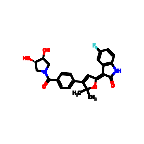 CC1(C)OC(=C2C(=O)Nc3ccc(F)cc32)C=C1c1ccc(C(=O)N2C[C@H](O)[C@@H](O)C2)cc1